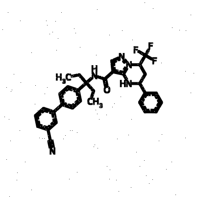 CCC(CC)(NC(=O)c1cnn2c1NC(c1ccccc1)CC2C(F)(F)F)c1ccc(-c2cccc(C#N)c2)cc1